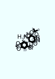 CC1(C)O[C@@H]2[C@H]3O[C@H]3[C@H](c3cc4c(cc3Br)OCO4)[C@@H](N)[C@@H]2O1